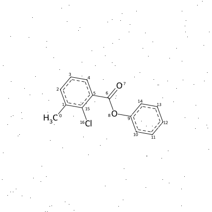 Cc1cccc(C(=O)Oc2ccccc2)c1Cl